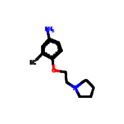 N#Cc1cc(N)ccc1OCCN1CCCC1